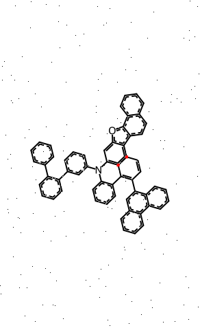 C1=C=c2c(oc3c2ccc2ccccc23)=CC=1N(c1cccc(-c2ccccc2-c2ccccc2)c1)c1ccccc1C1=C(c2cc3ccccc3c3ccccc23)C=CCC1